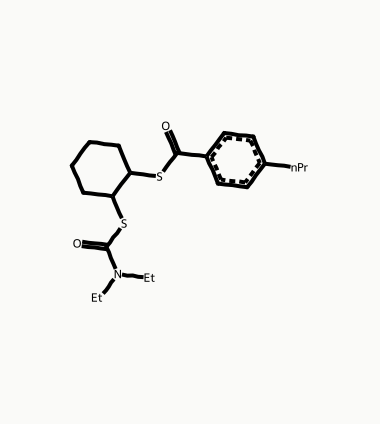 CCCc1ccc(C(=O)SC2CCCCC2SC(=O)N(CC)CC)cc1